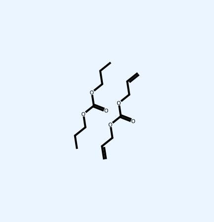 C=CCOC(=O)OCC=C.CCCOC(=O)OCCC